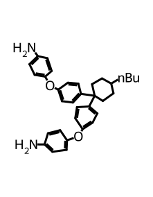 CCCCC1CCC(c2ccc(Oc3ccc(N)cc3)cc2)(c2ccc(Oc3ccc(N)cc3)cc2)CC1